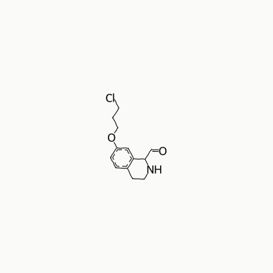 O=CC1NCCc2ccc(OCCCCl)cc21